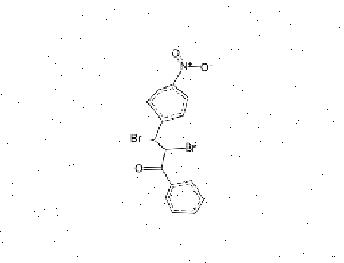 O=C(c1ccccc1)C(Br)C(Br)c1ccc([N+](=O)[O-])cc1